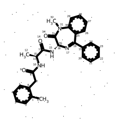 Cc1ccccc1CC(=O)N[C@@H](C)C(=O)N[C@H]1N=C(c2ccccc2)c2ccccc2N(C)C1=O